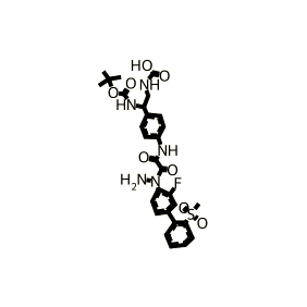 CC(C)(C)OC(=O)NC(CNC(=O)O)c1ccc(NC(=O)C(=O)N(N)c2ccc(-c3ccccc3S(C)(=O)=O)cc2F)cc1